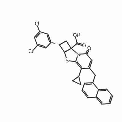 O=C(O)C12C[C@@H](c3cc(Cl)cc(Cl)c3)C1Sc1c(C3CC3)c(Cc3cccc4ccccc34)cc(=O)n12